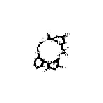 O=C1OCCOc2ccccc2-c2cc(c(F)cc2F)NS(=O)(=O)c2cc(O)cc1c2